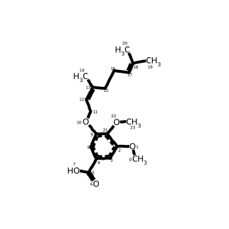 COc1cc(C(=O)O)cc(OCC=C(C)CCC=C(C)C)c1OC